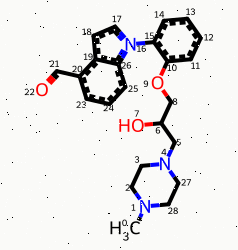 CN1CCN(CC(O)COc2ccccc2-n2ccc3c(C=O)cccc32)CC1